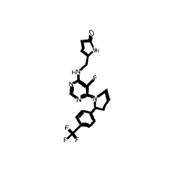 O=C1CCC(CNc2ncnc(N3CCCC3c3ccc(C(F)(F)F)cc3)c2F)N1